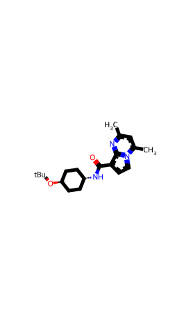 Cc1cc(C)n2ccc(C(=O)N[C@H]3CC[C@H](OC(C)(C)C)CC3)c2n1